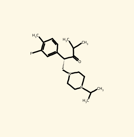 Cc1ccc([C@@H](CN2CCN(C(C)C)CC2)C(=O)C(C)C)cc1F